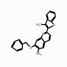 Cc1cc2ccc(-c3oc4ccccc4c3C)nc2cc1OCc1ccccc1